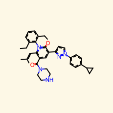 CCc1cccc(CC)c1-n1c(C=C(C)C)c(C(=O)N2CCNCC2)cc(-c2ccn(-c3ccc(C4CC4)cc3)n2)c1=O